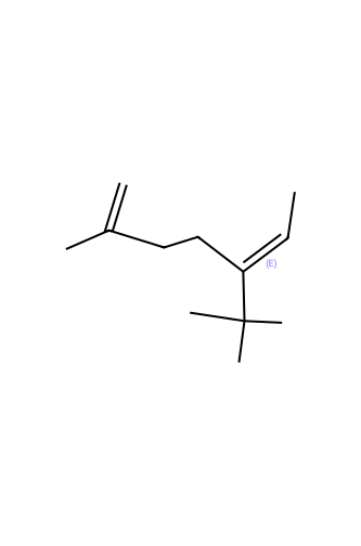 C=C(C)CC/C(=C\C)C(C)(C)C